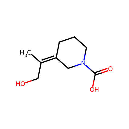 CC(CO)=C1CCCN(C(=O)O)C1